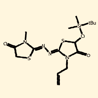 C=CCN1C(=O)C(O[Si](C)(C)C(C)(C)C)SC1=NN=C1SCC(=O)N1C